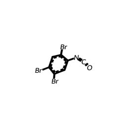 O=C=Nc1cc(Br)c(Br)cc1Br